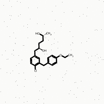 CCOc1ccc(Cc2cc(C[C@H](O)CC[C@@H](C)O)ccc2Cl)cc1